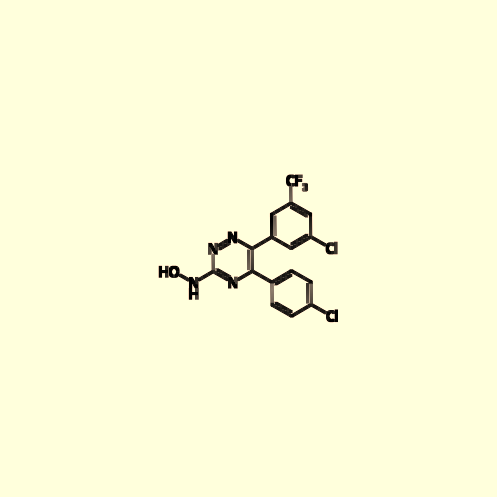 ONc1nnc(-c2cc(Cl)cc(C(F)(F)F)c2)c(-c2ccc(Cl)cc2)n1